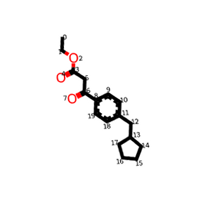 CCOC(=O)CC(=O)c1ccc(CC2CCCC2)cc1